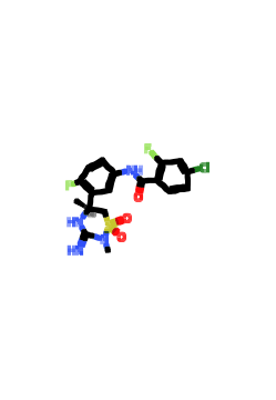 CN1C(=N)N[C@](C)(c2cc(NC(=O)c3ccc(Cl)cc3F)ccc2F)CS1(=O)=O